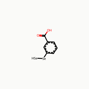 O=C(O)c1cccc([Se][SeH])c1